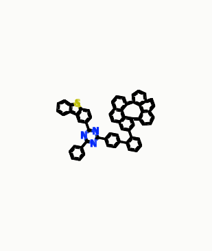 c1ccc(-c2nc(-c3ccc(-c4ccccc4-c4cc5ccc6cccc7c8cccc9ccc%10cccc(c(c4)c5c67)c%10c98)cc3)nc(-c3ccc4sc5ccccc5c4c3)n2)cc1